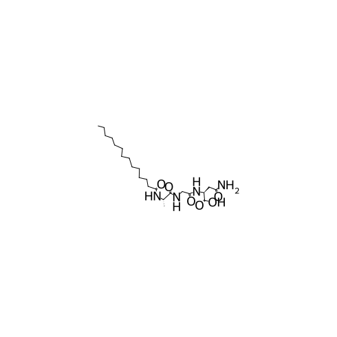 CCCCCCCCCCCCCC(=O)N[C@@H](C)C(=O)NCC(=O)N[C@@H](CC(N)=O)C(=O)O